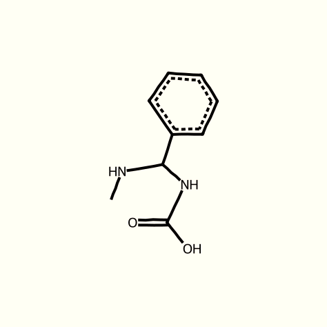 CNC(NC(=O)O)c1ccccc1